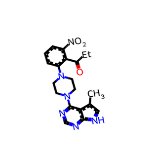 CCC(=O)c1c(N2CCN(c3ncnc4[nH]cc(C)c34)CC2)cccc1[N+](=O)[O-]